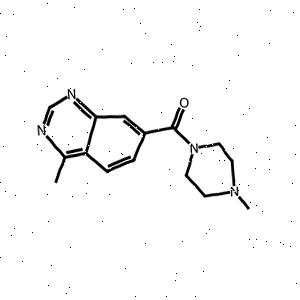 Cc1ncnc2cc(C(=O)N3CCN(C)CC3)ccc12